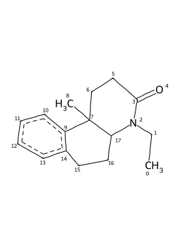 CCN1C(=O)CCC2(C)c3ccccc3CCC12